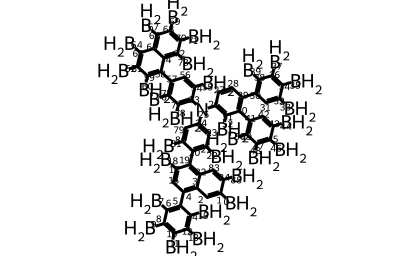 Bc1cc2c(-c3c(B)c(B)c(B)c(B)c3B)cc(B)c(-c3c(B)cc(N(c4ccc(-c5cc(B)c(B)c(B)c5B)c(-c5cc(B)c(B)c(B)c5B)c4B)c4c(B)cc(-c5c(B)c(B)c(B)c6c(B)c(B)c(B)c(B)c56)c(B)c4B)cc3B)c2cc1B